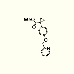 COC(=O)C1(c2ccc(OCc3ccccn3)cc2)CC1